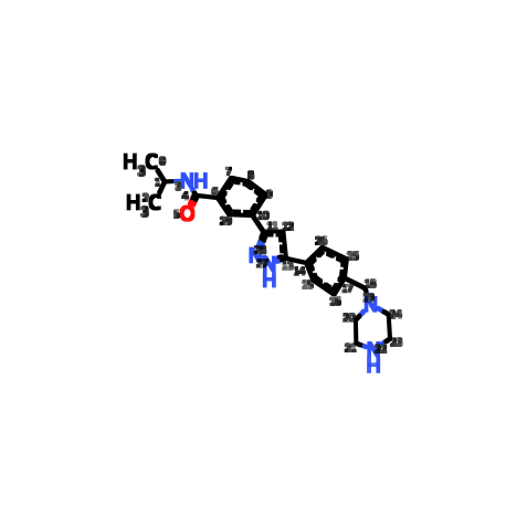 CC(C)NC(=O)c1cccc(-c2cc(-c3ccc(CN4CCNCC4)cc3)[nH]n2)c1